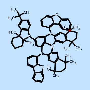 CC(C)(C)c1ccc2c(c1)C1(C)CCCCC1(C)N2c1cc2c3c(c1)N(c1cccc4oc5ccccc5c14)c1cc4c(cc1B3c1cc3c(cc1N2c1cccc2c1oc1ccccc12)C(C)(C)CCC3(C)C)C(C)(C)CCC4(C)C